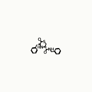 O=C(NCc1ccccc1)[C@H]1CSC(=O)[C@@H](Cc2ccccc2)N1